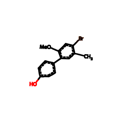 COc1cc(Br)c(C)cc1-c1ccc(O)cc1